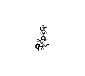 C=CCOC(=O)c1c(C)cccc1NC(=O)[C@@H]1C[C@H](C(=O)OC(C=C)SC(C)=O)CN1